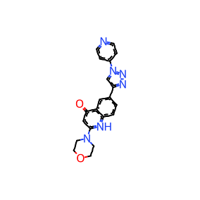 O=c1cc(N2CCOCC2)[nH]c2ccc(-c3cn(-c4ccncc4)nn3)cc12